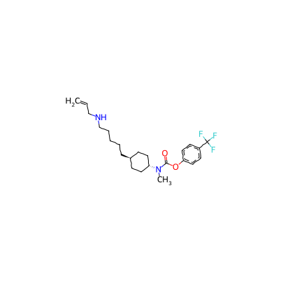 C=CCNCCCCC[C@H]1CC[C@H](N(C)C(=O)Oc2ccc(C(F)(F)F)cc2)CC1